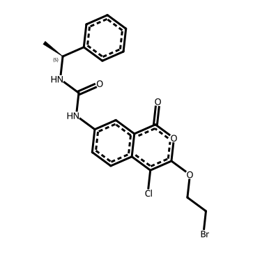 C[C@H](NC(=O)Nc1ccc2c(Cl)c(OCCBr)oc(=O)c2c1)c1ccccc1